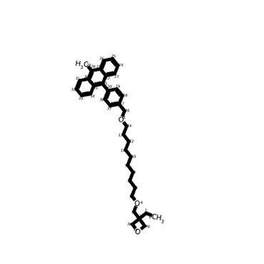 CCC1(COCCCCCCCCCCOCc2ccc(-c3c4ccccc4c(C)c4ccccc34)cc2)COC1